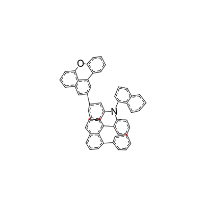 c1ccc(-c2cccc3cccc(-c4ccccc4N(c4cccc(-c5cc6c7c(cccc7c5)Oc5ccccc5-6)c4)c4cccc5ccccc45)c23)cc1